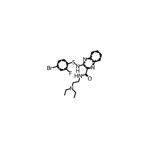 CCN(CC)CCNC(=O)c1nc2ccccc2nc1NSc1ccc(Br)cc1F